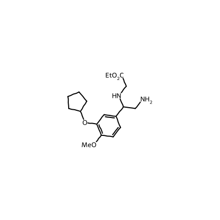 CCOC(=O)CNC(CN)c1ccc(OC)c(OC2CCCC2)c1